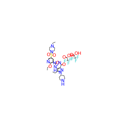 CCOc1ncc(S(=O)(=O)N2CCN(CC)CC2)cc1C(=O)Nc1c(C(N)=O)nn(C2CCNCC2)c1CC.O=C(O)C(F)(F)F.O=C(O)C(F)(F)F